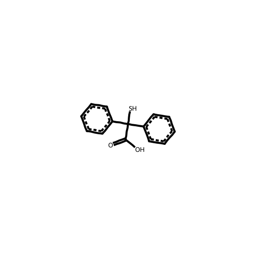 O=C(O)C(S)(c1ccccc1)c1ccccc1